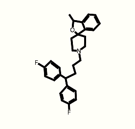 CC1OC2(CCN(CCCC(c3ccc(F)cc3)c3ccc(F)cc3)CC2)c2ccccc21